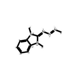 C/N=N/N=c1n(C)c2ccccc2n1C